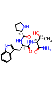 C[C@@H](O)[C@H](NC(=O)[C@H](Cc1c[nH]c2ccccc12)NC(=O)[C@@H]1CCCN1)C(N)=O